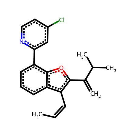 C=C(c1oc2c(-c3cc(Cl)ccn3)cccc2c1/C=C\C)C(C)C